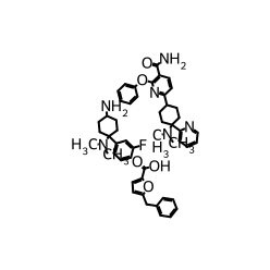 CN(C)C1(c2cccc(F)c2)CCC(N)CC1.CN(C)C1(c2ccccn2)CCC(c2ccc(C(N)=O)c(Oc3ccccc3)n2)CC1.O=C(O)c1ccc(Cc2ccccc2)o1